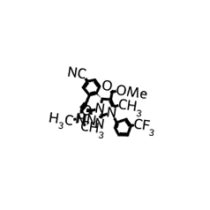 COC(=O)C1=C(C)N(c2cccc(C(F)(F)F)c2)c2n[nH]c(=O)n2[C@@H]1c1ccc(C#N)cc1C#CN(C)C